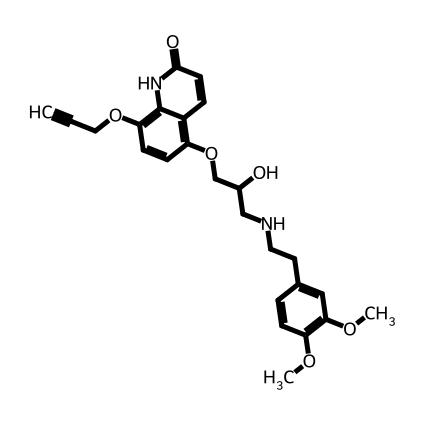 C#CCOc1ccc(OCC(O)CNCCc2ccc(OC)c(OC)c2)c2ccc(=O)[nH]c12